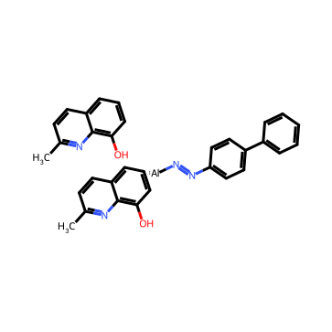 Cc1ccc2cccc(O)c2n1.Cc1ccc2cccc(O)c2n1.[Al][N]=Nc1ccc(-c2ccccc2)cc1